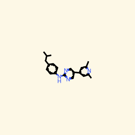 Cc1cc(-c2cnc(Nc3ccc(CC(C)C)cc3)nc2)cc(C)n1